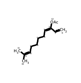 C=C/C(=C\CCCCC=C(C)C)OC(C)=O